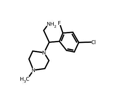 CN1CCN(C(CN)c2ccc(Cl)cc2F)CC1